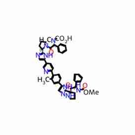 COC(=O)N[C@@H](C(=O)[C@@]1(c2ncc(-c3ccc(-c4ccc(-c5cnc([C@@H]6CCCN6C(=O)[C@@H](c6ccccc6)N(C)C(=O)O)[nH]5)cn4)c(C)c3)[nH]2)CCCN1)c1ccccc1